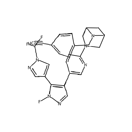 C#Cc1ccc(CN2C3CC2CN(c2ccc(-c4cnn(F)c4-c4cnn(C(F)F)c4)cn2)C3)cc1